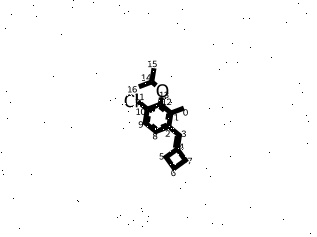 Cc1c(C=C2CCC2)ccc(Cl)c1OC(C)C